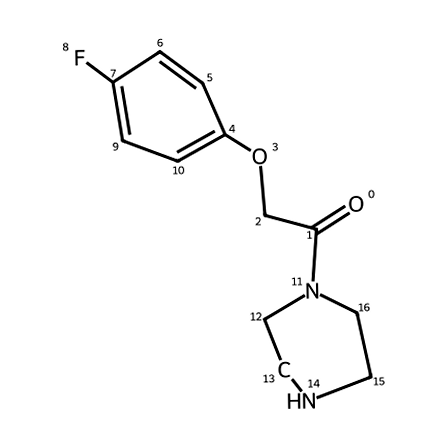 O=C(COc1ccc(F)cc1)N1CCNCC1